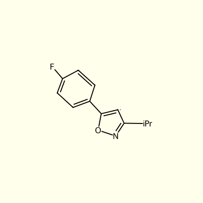 CC(C)c1[c]c(-c2ccc(F)cc2)on1